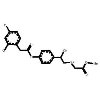 CC(C)(C)OC(=O)CNCC(O)c1ccc(OC(=O)Cc2ccc(Cl)cc2Cl)cc1